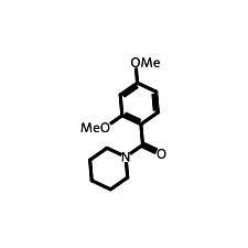 COc1ccc(C(=O)N2CCCCC2)c(OC)c1